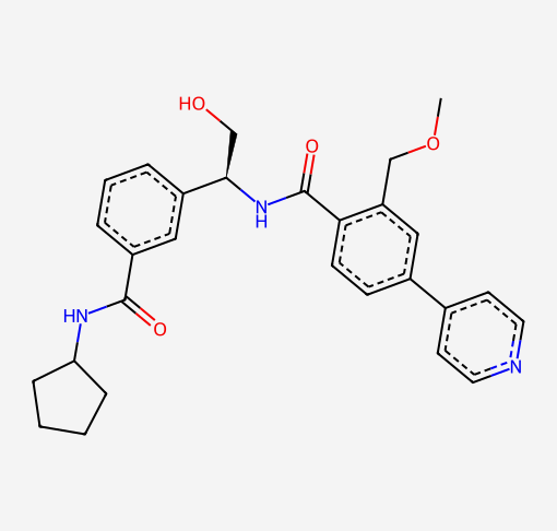 COCc1cc(-c2ccncc2)ccc1C(=O)N[C@H](CO)c1cccc(C(=O)NC2CCCC2)c1